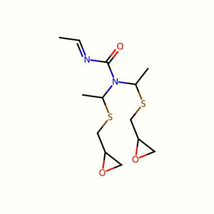 CC=NC(=O)N(C(C)SCC1CO1)C(C)SCC1CO1